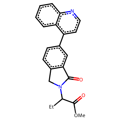 CCC(C(=O)OC)N1Cc2ccc(-c3ccnc4ccccc34)cc2C1=O